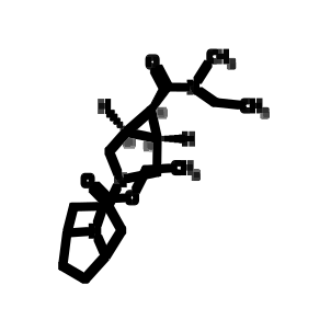 CCOC(=O)N1C2CCC1CC(N1C[C@@H]3[C@H](C1)[C@@H]3C(=O)N(C)CC)C2